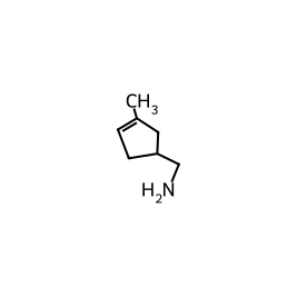 CC1=CCC(CN)C1